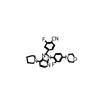 N#Cc1ccc(-c2nc3c(N4CCCCC4)ccnc3n2-c2ccc(N3CCOCC3)cc2F)cc1F